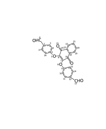 O=Cc1ccc(OC2=C(Oc3ccc(C=O)cc3)C(=O)c3ccccc3C2=O)cc1